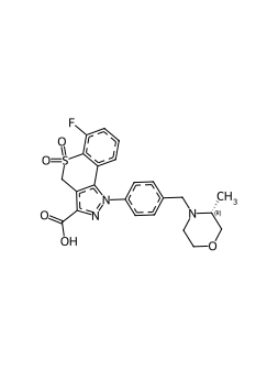 C[C@@H]1COCCN1Cc1ccc(-n2nc(C(=O)O)c3c2-c2cccc(F)c2S(=O)(=O)C3)cc1